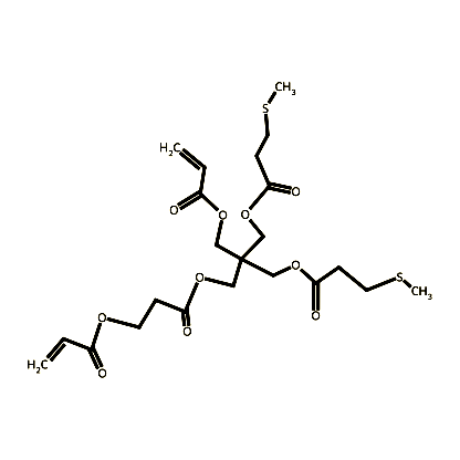 C=CC(=O)OCCC(=O)OCC(COC(=O)C=C)(COC(=O)CCSC)COC(=O)CCSC